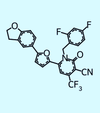 N#Cc1c(C(F)(F)F)cc(-c2ccc(-c3ccc4c(c3)CCO4)o2)n(Cc2ccc(F)cc2F)c1=O